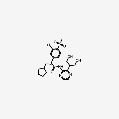 CS(=O)(=O)c1ccc([C@@H](CC2CCCC2)C(=O)Nc2nccnc2C(CO)CO)cc1Cl